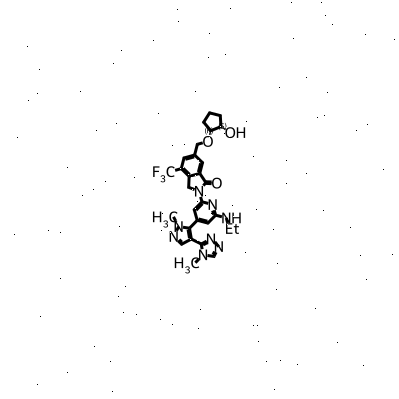 CCNc1cc(-c2c(-c3nncn3C)cnn2C)cc(N2Cc3c(cc(CO[C@@H]4CCC[C@@H]4O)cc3C(F)(F)F)C2=O)n1